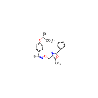 CCC(=NOCc1nc(-c2ccccc2)oc1C)c1ccc(OC(CC)C(=O)O)cc1